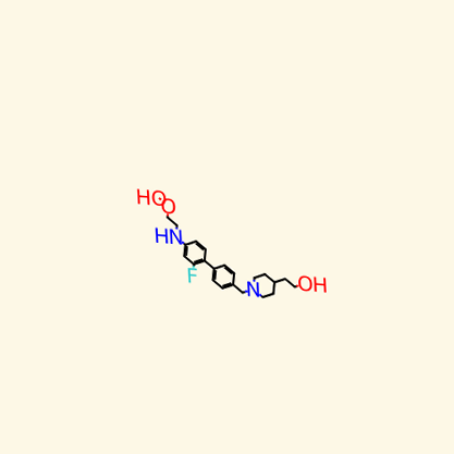 OCCC1CCN(Cc2ccc(-c3ccc(NCCOO)cc3F)cc2)CC1